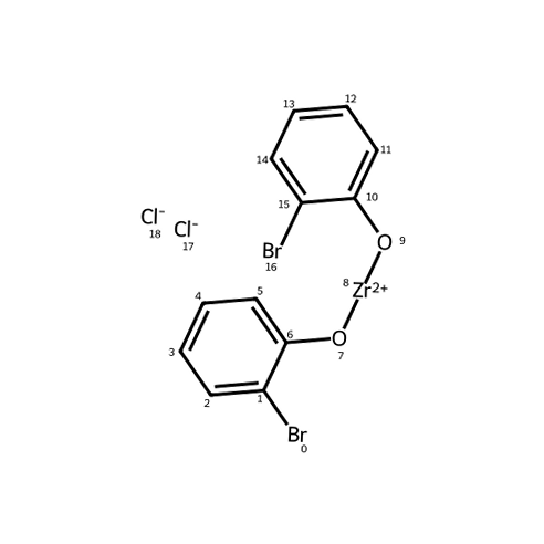 Brc1ccccc1[O][Zr+2][O]c1ccccc1Br.[Cl-].[Cl-]